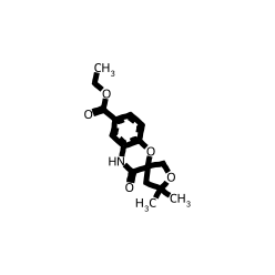 CCOC(=O)c1ccc2c(c1)NC(=O)C1(COC(C)(C)C1)O2